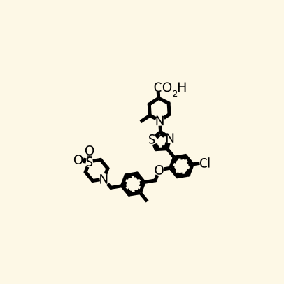 Cc1cc(CN2CCS(=O)(=O)CC2)ccc1COc1ccc(Cl)cc1-c1csc(N2CCC(C(=O)O)CC2C)n1